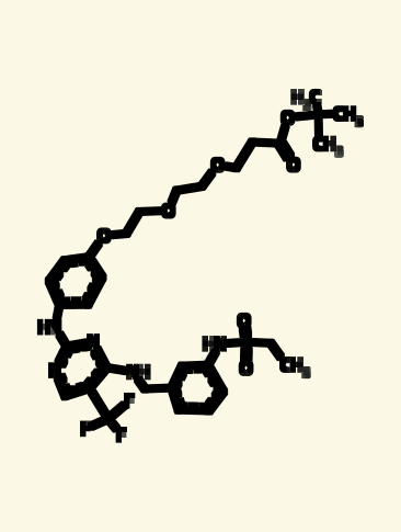 CCS(=O)(=O)Nc1cccc(CNc2nc(Nc3ccc(OCCOCCOCCC(=O)OC(C)(C)C)cc3)ncc2C(F)(F)F)c1